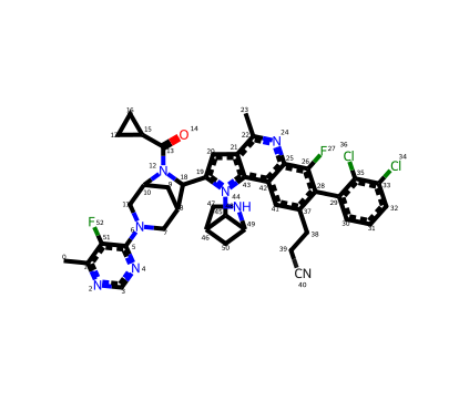 Cc1ncnc(N2CC3CC(C2)N(C(=O)C2CC2)C3c2cc3c(C)nc4c(F)c(-c5cccc(Cl)c5Cl)c(CCC#N)cc4c3n2C2C3CNC2C3)c1F